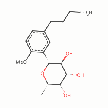 COc1ccc(CCCC(=O)O)cc1[C@H]1O[C@@H](C)[C@@H](O)[C@@H](O)[C@@H]1O